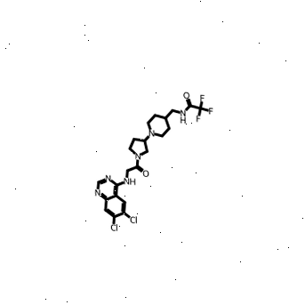 O=C(CNc1ncnc2cc(Cl)c(Cl)cc12)N1CCC(N2CCC(CNC(=O)C(F)(F)F)CC2)C1